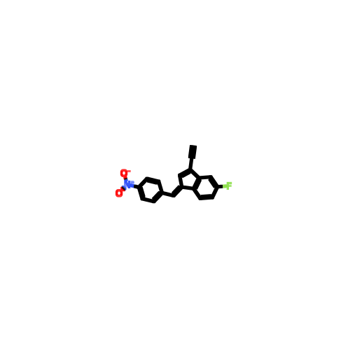 C#CC1=CC(=Cc2ccc([N+](=O)[O-])cc2)c2ccc(F)cc21